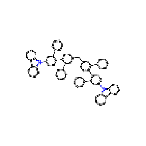 c1ccc(-c2cc(Cc3ccc(-c4ccc(-n5c6ccccc6c6ccccc65)cc4-c4ccccc4)c(-c4ccccc4)c3)ccc2-c2ccc(-n3c4ccccc4c4ccccc43)cc2-c2ccccc2)cc1